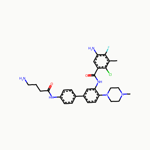 Cc1c(F)c(N)cc(C(=O)Nc2cc(-c3ccc(NC(=O)CCCN)cc3)ccc2N2CCN(C)CC2)c1Cl